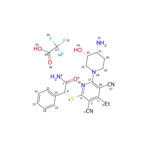 CCc1c(C#N)c(S[C@@H](C(N)=O)c2ccccc2)nc(N2CC[C@@H](N)[C@@H](O)C2)c1C#N.O=C(O)C(F)(F)F